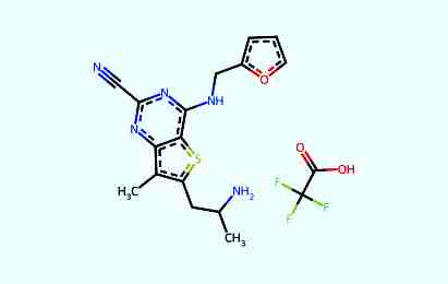 Cc1c(CC(C)N)sc2c(NCc3ccco3)nc(C#N)nc12.O=C(O)C(F)(F)F